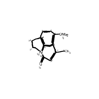 COc1ccc2c3c1c(C)cc(=O)n3CC2